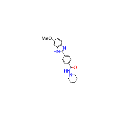 COc1ccc2nc(-c3ccc(C(=O)NN4CCCCC4)cc3)[nH]c2c1